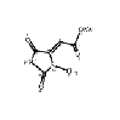 COC(=O)C=C1C(=O)NC(=O)N1C